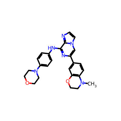 CN1CCOc2cc(-c3cn4ccnc4c(Nc4ccc(N5CCOCC5)cc4)n3)ccc21